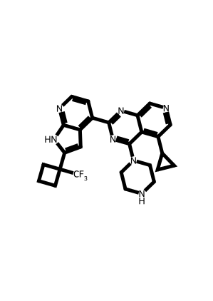 FC(F)(F)C1(c2cc3c(-c4nc(N5CCNCC5)c5c(C6CC6)cncc5n4)ccnc3[nH]2)CCC1